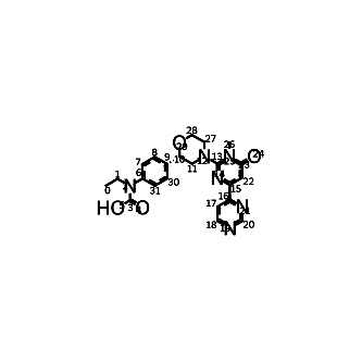 CCN(C(=O)O)c1ccc([C@H]2CN(c3nc(-c4ccncn4)cc(=O)n3C)CCO2)cc1